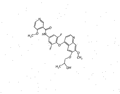 COc1cc2nccc(Oc3c(F)cc(NC(=O)c4cnccc4OC)cc3F)c2cc1OCC(C)O